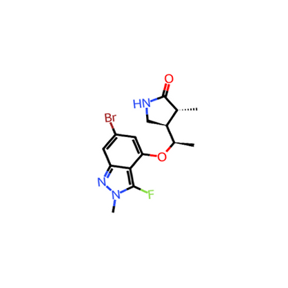 C[C@@H](Oc1cc(Br)cc2nn(C)c(F)c12)[C@H]1CNC(=O)[C@@H]1C